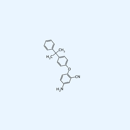 CC(C)(c1ccccc1)c1ccc(Oc2ccc(N)cc2C#N)cc1